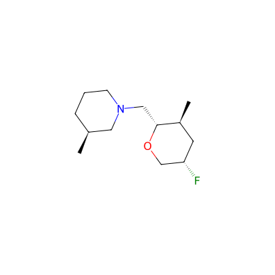 C[C@H]1CCCN(C[C@H]2OC[C@@H](F)C[C@@H]2C)C1